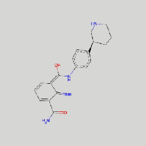 N=C1C(C(N)=O)=CC=C/C1=C(\O)Nc1ccc([C@@H]2CCCNC2)cc1